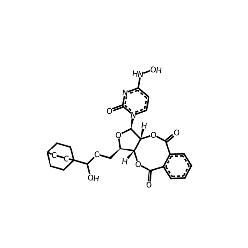 O=C1O[C@@H]2[C@H](OC(=O)c3ccccc31)[C@@H](COC(O)C13CCC(CC1)CC3)O[C@H]2n1ccc(NO)nc1=O